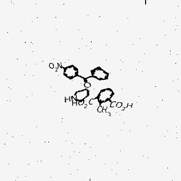 C1CCNC1.Cc1c(C(=O)O)cccc1C(=O)O.O=C(c1ccccc1)c1ccc([N+](=O)[O-])cc1